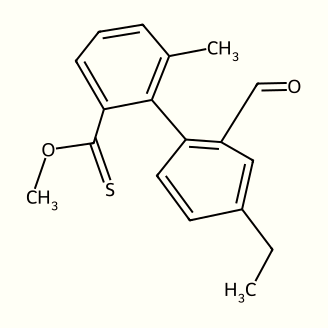 CCc1ccc(-c2c(C)cccc2C(=S)OC)c(C=O)c1